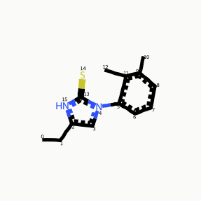 CCc1cn(-c2cccc(C)c2C)c(=S)[nH]1